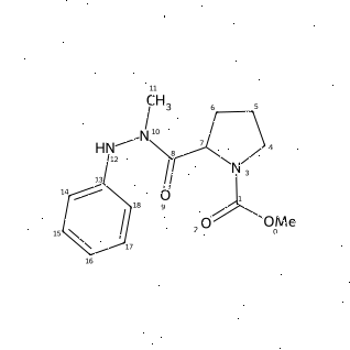 COC(=O)N1CCCC1C(=O)N(C)Nc1ccccc1